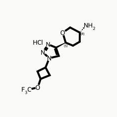 Cl.N[C@@H]1CC[C@@H](c2cn(C3CC(OC(F)(F)F)C3)nn2)OC1